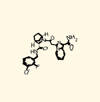 NC(=O)c1nc(CC(=O)N2[C@@H]3CC[C@@H](C3)[C@H]2C(=O)NCc2cccc(Cl)c2F)n2ccccc12